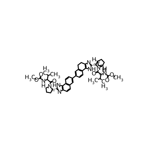 COC(=O)NC(C(=O)N1CCC[C@H]1c1nc2ccc3cc(-c4ccc5c(c4)CCc4nc([C@@H]6[C@H]7CC[C@H](C7)N6C(=O)[C@@H](NC(=O)OC)C(C)C)[nH]c4-5)ccc3c2[nH]1)C(C)C